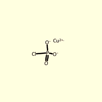 O=P([O-])([O-])Cl.[Cu+2]